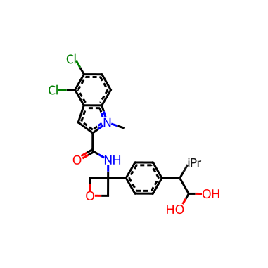 CC(C)C(c1ccc(C2(NC(=O)c3cc4c(Cl)c(Cl)ccc4n3C)COC2)cc1)C(O)O